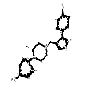 C[C@@H]1CN(Cc2c[nH]nc2-c2ccc(Br)cc2)CCN1c1ccc(C(F)(F)F)cn1